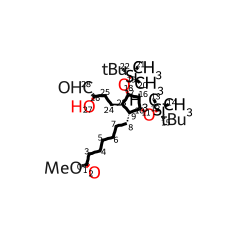 COC(=O)CCCCCC[C@H]1C(O[Si](C)(C)C(C)(C)C)CC(O[Si](C)(C)C(C)(C)C)[C@@H]1CCC(O)C=O